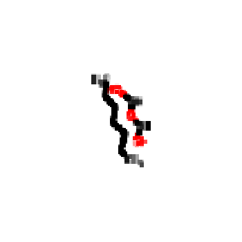 CCCCCCC.OBOBO